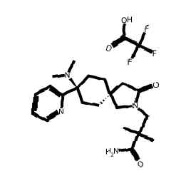 CN(C)[C@]1(c2ccccn2)CC[C@]2(CC1)CC(=O)N(CC(C)(C)C(N)=O)C2.O=C(O)C(F)(F)F